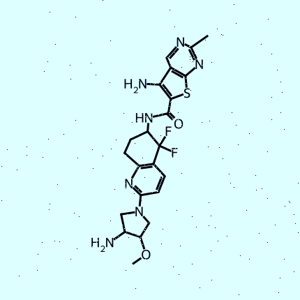 COC1CN(c2ccc3c(n2)CCC(NC(=O)c2sc4nc(C)ncc4c2N)C3(F)F)CC1N